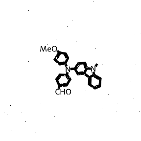 COc1ccc(N(c2ccc(C=O)cc2)c2ccc3c(c2)c2ccccc2n3C)cc1